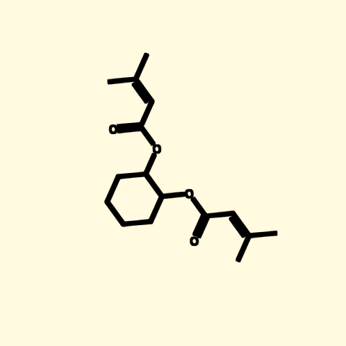 CC(C)=CC(=O)OC1CCCCC1OC(=O)C=C(C)C